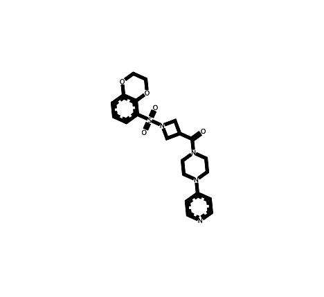 O=C(C1CN(S(=O)(=O)c2cccc3c2OCCO3)C1)N1CCN(c2ccncc2)CC1